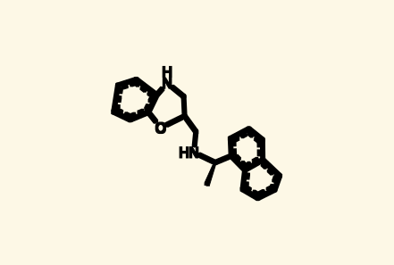 C[C@@H](NCC1CNc2ccccc2O1)c1cccc2ccccc12